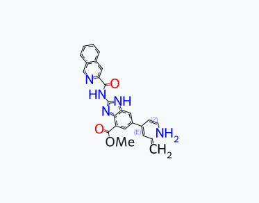 C=C/C=C(\C=C/N)c1cc(C(=O)OC)c2nc(NC(=O)c3cc4ccccc4cn3)[nH]c2c1